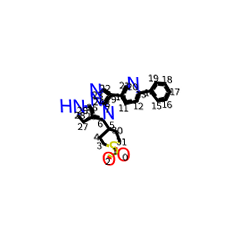 O=S1(=O)CCC(c2nc3c(-c4ccc(-c5ccccc5)nc4)cnn3c3c2CCN3)CC1